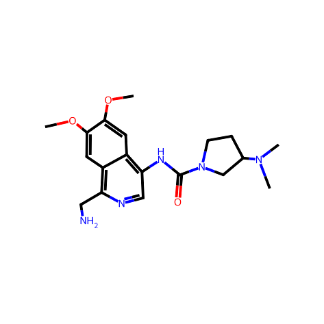 COc1cc2c(NC(=O)N3CCC(N(C)C)C3)cnc(CN)c2cc1OC